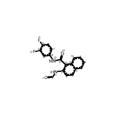 O=CNc1ccc2ccccc2c1C(=O)Nc1ccc(F)c(F)c1